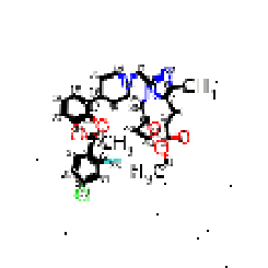 CCOC(=O)CCc1c(C)nc(CN2CCC(c3cccc4c3O[C@@](C)(c3ccc(Cl)cc3F)O4)CC2)n1C[C@@H]1CCO1